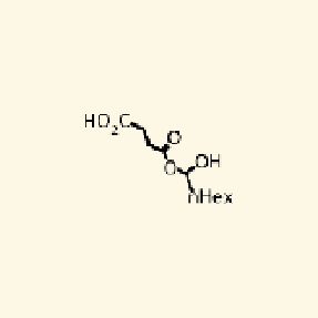 CCCCCCC(O)OC(=O)CCC(=O)O